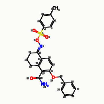 Cc1ccc(S(=O)(=O)ON=C2CCCc3c2ccc(OCc2ccccc2)c3C(N)=O)cc1